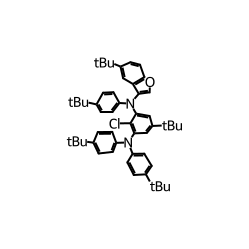 CC(C)(C)c1ccc(N(c2ccc(C(C)(C)C)cc2)c2cc(C(C)(C)C)cc(N(c3ccc(C(C)(C)C)cc3)c3coc4ccc(C(C)(C)C)cc34)c2Cl)cc1